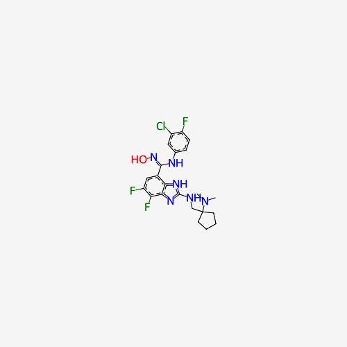 CN(C)C1(CNc2nc3c(F)c(F)cc(/C(=N\O)Nc4ccc(F)c(Cl)c4)c3[nH]2)CCCC1